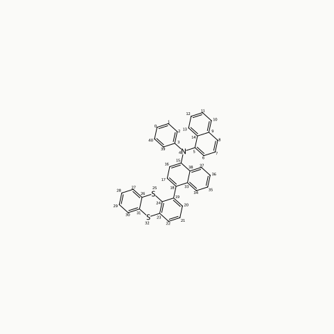 c1ccc(N(c2cccc3ccccc23)c2ccc(-c3cccc4c3Sc3ccccc3S4)c3ccccc23)cc1